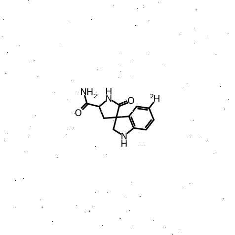 [2H]c1ccc2c(c1)C1(CN2)CC(C(N)=O)NC1=O